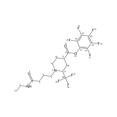 CCNC(=O)CCCN1CCC(C(=O)Oc2c(F)c(F)c(F)c(F)c2F)CC1C(F)(F)F